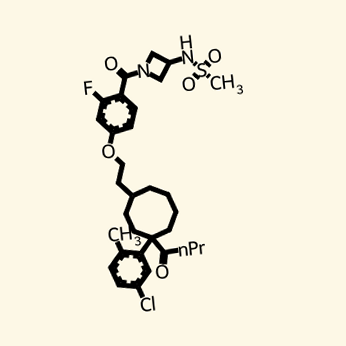 CCCC(=O)C1(c2cc(Cl)ccc2C)CCCCC(CCOc2ccc(C(=O)N3CC(NS(C)(=O)=O)C3)c(F)c2)CC1